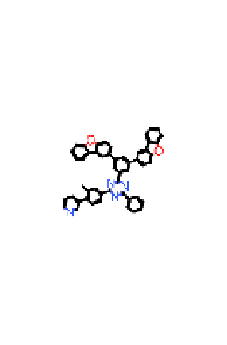 Cc1cc(-c2nc(-c3ccccc3)nc(-c3cc(-c4ccc5oc6ccccc6c5c4)cc(-c4ccc5oc6ccccc6c5c4)c3)n2)ccc1-c1cccnc1